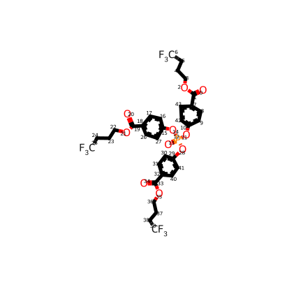 O=C(OCCCC(F)(F)F)c1ccc(OP(=O)(Oc2ccc(C(=O)OCCCC(F)(F)F)cc2)Oc2ccc(C(=O)OCCCC(F)(F)F)cc2)cc1